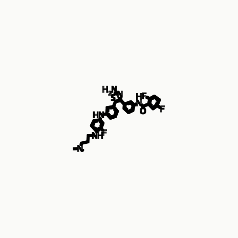 CN(C)CCCNc1ccc(Nc2cccc(-c3sc(N)nc3-c3cccc(NC(=O)c4cc(F)ccc4F)c3)c2)cc1F